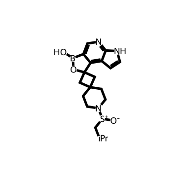 CC(C)C[S+]([O-])N1CCC2(CC1)CC1(C2)OB(O)c2cnc3[nH]ccc3c21